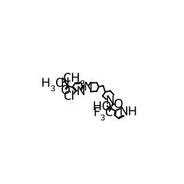 CN(C)C(=O)c1ccc(N2CCC(CC3CCN(C(=O)C(O)(C4=CC=CNC4)C(F)(F)F)CC3)CC2)nc1Cl